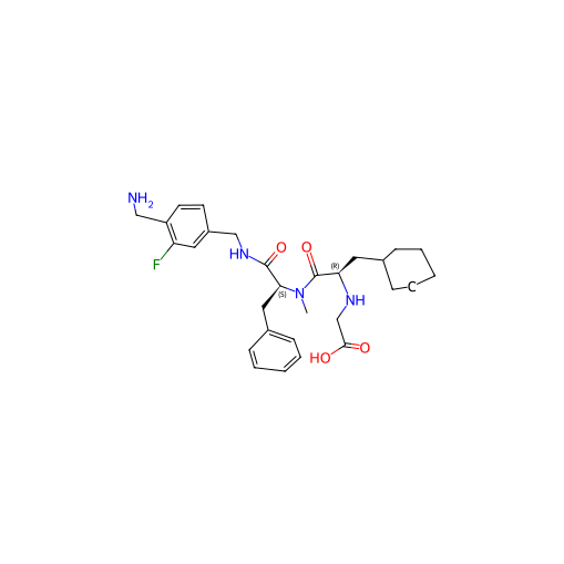 CN(C(=O)[C@@H](CC1CCCCC1)NCC(=O)O)[C@@H](Cc1ccccc1)C(=O)NCc1ccc(CN)c(F)c1